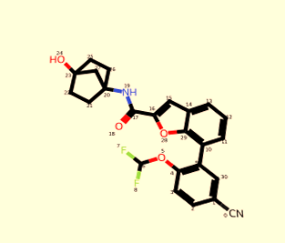 N#Cc1ccc(OC(F)F)c(-c2cccc3cc(C(=O)NC45CCC(O)(CC4)C5)oc23)c1